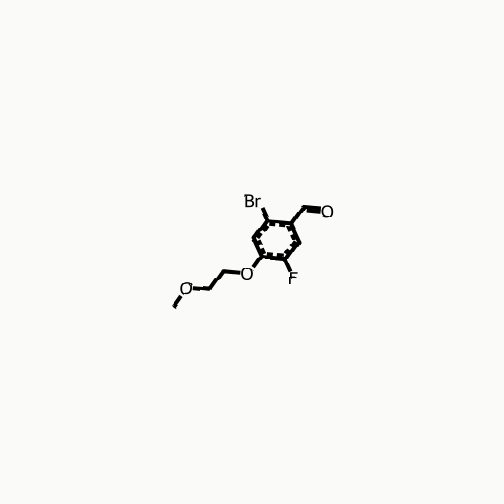 COCCOc1cc(Br)c(C=O)cc1F